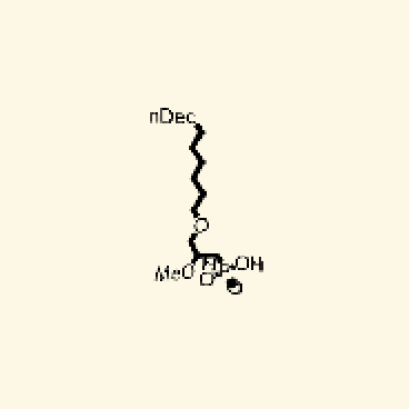 CCCCCCCCCCCCCCCCOCC(CP(=O)(O)O)OC